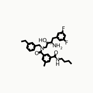 CCCCNC(=O)c1cc(C)cc(C(=O)N(Cc2cccc(CC)c2)C[C@@H](O)[C@@H](N)Cc2cc(F)cc(F)c2)c1